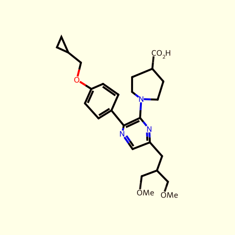 COCC(COC)Cc1cnc(-c2ccc(OCC3CC3)cc2)c(N2CCC(C(=O)O)CC2)n1